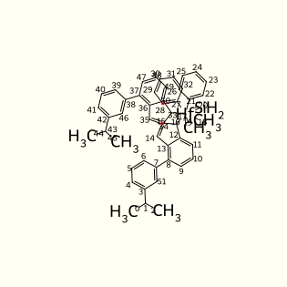 CC(C)c1cccc(-c2cccc3c2C=C[CH]3[Hf]([CH3])([CH3])(=[SiH2])([c]2ccccc2)([c]2ccccc2)[CH]2C=Cc3c(-c4cccc(C(C)C)c4)cccc32)c1